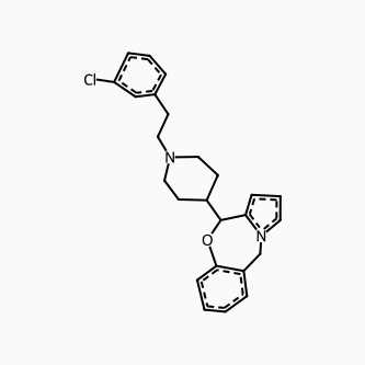 Clc1cccc(CCN2CCC(C3Oc4ccccc4Cn4cccc43)CC2)c1